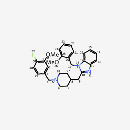 COc1cc(CN2CCC(Cc3nc4ccccc4n3Cc3ccccc3OC)CC2)ccc1F